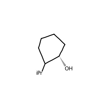 CC(C)C1CCCC[C@@H]1O